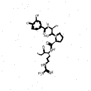 CC(C)[C@H](NC(=O)c1ccc(Cl)c(C#N)c1)C(O)N1CCC[C@H]1C(=O)N[C@@H](CCCNC(=N)N)C(=O)CF